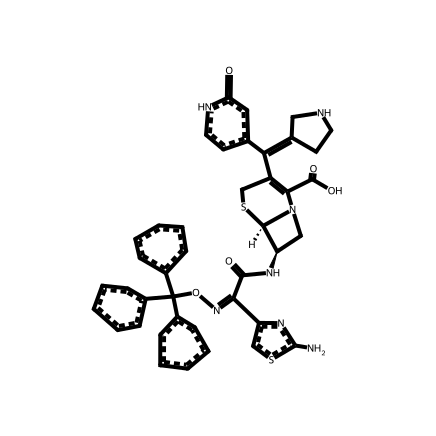 Nc1nc(/C(=N/OC(c2ccccc2)(c2ccccc2)c2ccccc2)C(=O)N[C@@H]2CN3C(C(=O)O)=C(/C(=C4\CCNC4)c4cc[nH]c(=O)c4)CS[C@H]23)cs1